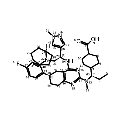 CC[C@H](C1CCC(C(=O)O)CC1)N(C)c1nc2c(c(N[C@@H](CN3C4CCC[C@@H]3CC4)c3cnn(C)c3)n1)C[C@H](c1ccc(F)cc1)CC2